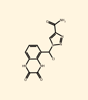 NC(=O)c1cn(C(Cl)c2cccc3[nH]c(=O)c(=O)[nH]c23)nn1